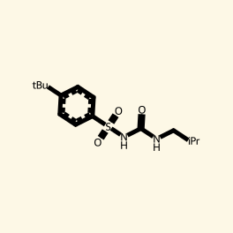 CC(C)CNC(=O)NS(=O)(=O)c1ccc(C(C)(C)C)cc1